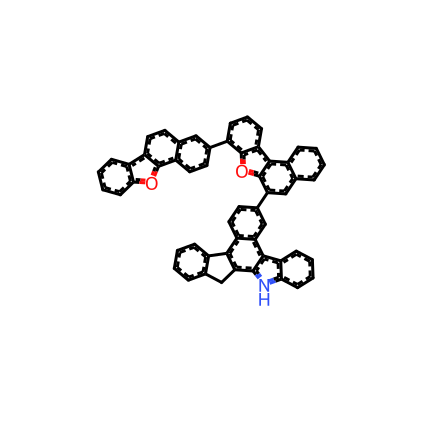 c1ccc2c(c1)Cc1c-2c2ccc(-c3cc4ccccc4c4c3oc3c(-c5ccc6c(ccc7c8ccccc8oc67)c5)cccc34)cc2c2c1[nH]c1ccccc12